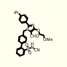 COCCOc1nc(-c2ccc(C(C)C)cc2)n(Cc2ccc(-c3ccccc3S(=O)(=O)NC#N)cc2)c1C=O